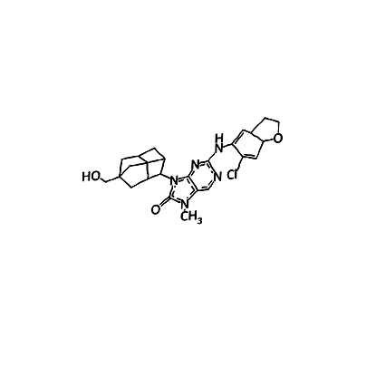 Cn1c(=O)n(C2C3CC4CC2CC(CO)(C4)C3)c2nc(NC3=CC4CCOC4C=C3Cl)ncc21